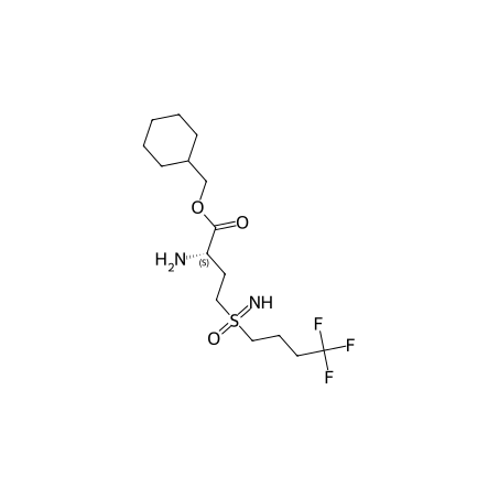 N=S(=O)(CCCC(F)(F)F)CC[C@H](N)C(=O)OCC1CCCCC1